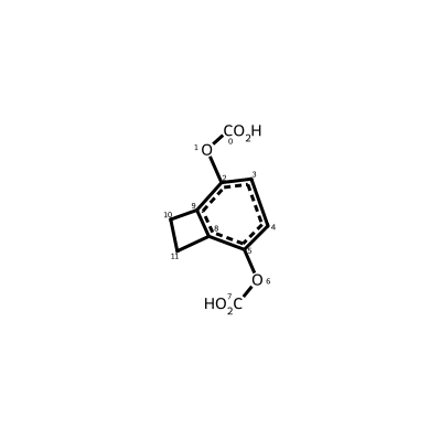 O=C(O)Oc1ccc(OC(=O)O)c2c1CC2